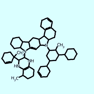 CC1CCCC2=C1NC(C1(C)C=CCCC1)C(N1C3=CC4C(CC3C3CCCCC31)C1C3=C(C=CCC3)CCC1N4C1CC(C3CC=CCC3)CC(C3CCCCC3)C1C)N2